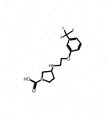 O=C(O)N1CCC(NCCOc2cccc(C(F)(F)F)c2)C1